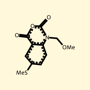 COCn1c(=O)oc(=O)c2cc(SC)ccc21